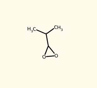 C[C](C)C1OO1